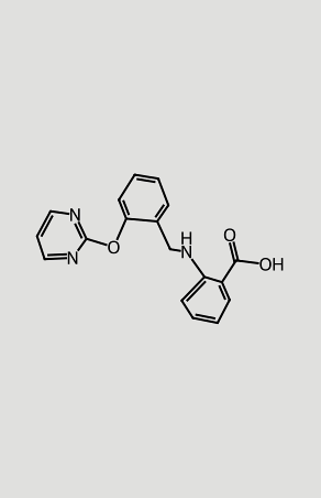 O=C(O)c1ccccc1NCc1ccccc1Oc1ncccn1